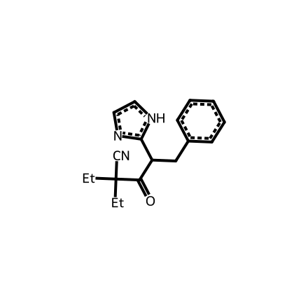 CCC(C#N)(CC)C(=O)C(Cc1ccccc1)c1ncc[nH]1